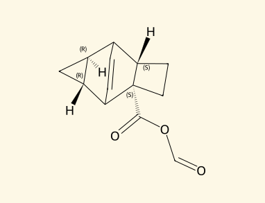 O=COC(=O)[C@@]12CC[C@H]1C1C=CC2[C@@H]2C[C@@H]12